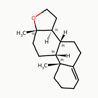 C[C@]12CCCC=C1CC[C@@H]1[C@H]2CC[C@]2(C)OCC[C@@H]12